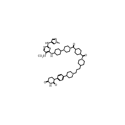 CCOC(=O)c1cnc(Nc2cnn(C)c2)nc1NC1CCC(N2CCN(C(=O)C3CCC(C(=O)N4CCC(CCCN5CCC(c6ccc(C7CCC(=O)NC7=O)cc6)CC5)CC4)CC3)CC2)CC1